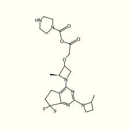 CC1CCN1c1nc(N2CC(OCC(=O)OC(=O)N3CCNCC3)[C@@H]2C)c2c(n1)C(F)(F)CC2